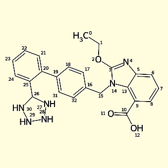 CCOc1nc2cccc(C(=O)O)c2n1Cc1ccc(-c2ccccc2C2NNNN2)cc1